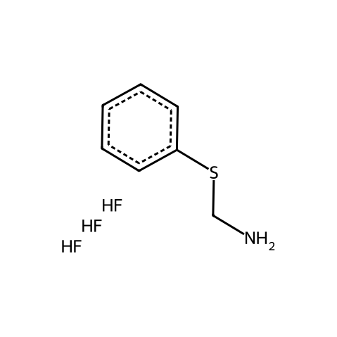 F.F.F.NCSc1ccccc1